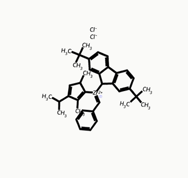 CC1=[C](/[Zr+2](=[CH]\c2ccccc2)[CH]2c3cc(C(C)(C)C)ccc3-c3ccc(C(C)(C)C)cc32)C(C)C=C1C(C)C.[Cl-].[Cl-]